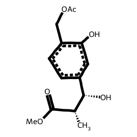 COC(=O)[C@@H](C)[C@@H](O)c1ccc(COC(C)=O)c(O)c1